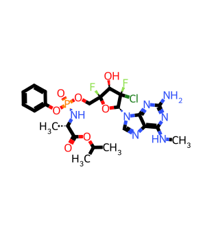 CNc1nc(N)nc2c1ncn2[C@@H]1O[C@](F)(CO[P@](=O)(N[C@@H](C)C(=O)OC(C)C)Oc2ccccc2)[C@@H](O)[C@]1(F)Cl